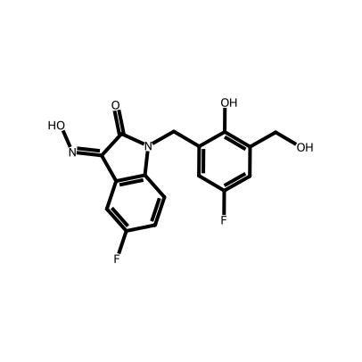 O=C1/C(=N\O)c2cc(F)ccc2N1Cc1cc(F)cc(CO)c1O